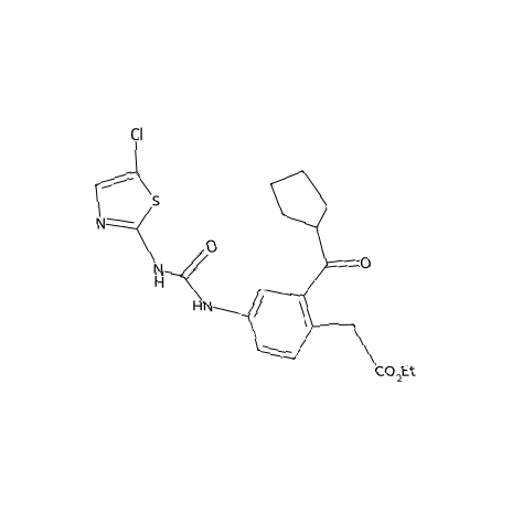 CCOC(=O)Cc1ccc(NC(=O)Nc2ncc(Cl)s2)cc1C(=O)C1CCCC1